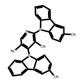 N#Cc1ccc2c(c1)c1ccccc1n2-c1ncc(C#N)c(-n2c3ccccc3c3cc(C#N)ccc32)c1C#N